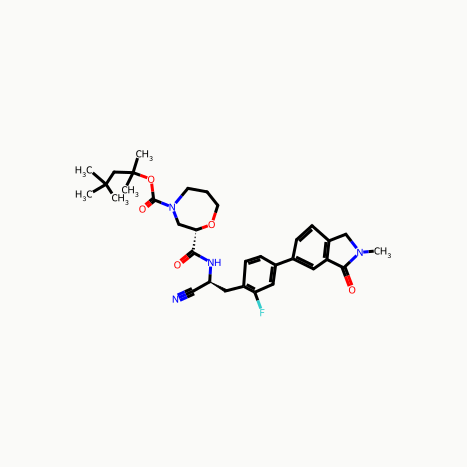 CN1Cc2ccc(-c3ccc(C[C@@H](C#N)NC(=O)[C@@H]4CN(C(=O)OC(C)(C)CC(C)(C)C)CCCO4)c(F)c3)cc2C1=O